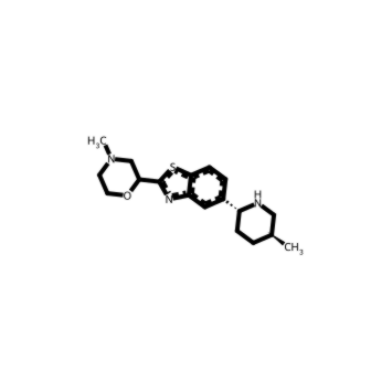 C[C@H]1CC[C@H](c2ccc3sc(C4CN(C)CCO4)nc3c2)NC1